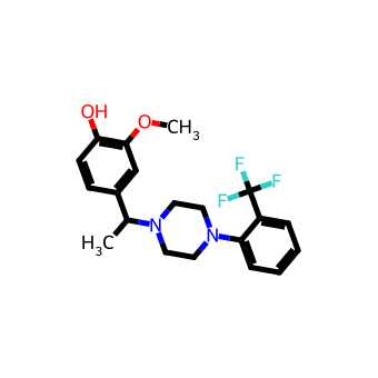 COc1cc(C(C)N2CCN(c3ccccc3C(F)(F)F)CC2)ccc1O